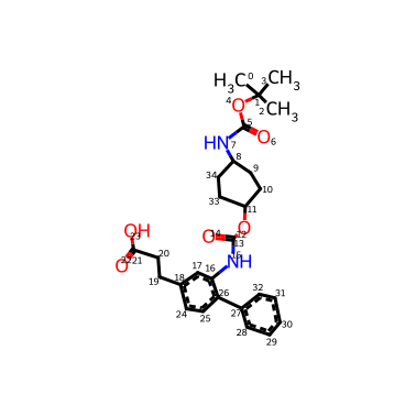 CC(C)(C)OC(=O)NC1CCC(OC(=O)Nc2cc(CCC(=O)O)ccc2-c2ccccc2)CC1